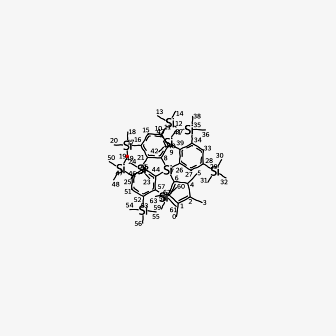 CC1=C(C)C(C)C([Si](c2cc([Si](C)(C)C)cc([Si](C)(C)C)c2[Si](C)(C)C)(c2cc([Si](C)(C)C)cc([Si](C)(C)C)c2[Si](C)(C)C)c2cc([Si](C)(C)C)cc([Si](C)(C)C)c2[Si](C)(C)C)=C1C